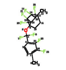 Cc1ccc(C(F)(F)OC23CCC(C)(CC2)C(F)(F)C3(F)F)c(F)c1F